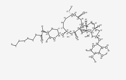 CCCCCCCC(=O)N(C)[C@H]1CC[C@H](O[C@H]2CCC[C@H](CC)OC(=O)C[C@@H]3C(=C[C@@H]4[C@H]3C=C[C@@H]3C[C@@H](OC5OC(C)C(OC)C(OC)C5OC)C[C@@H]43)C(=O)[C@@H]2C)OC1C